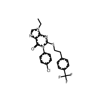 CCn1cnc2c(=O)n(-c3ccc(Cl)cc3)c(SCCc3ccc(C(F)(F)F)cc3)nc21